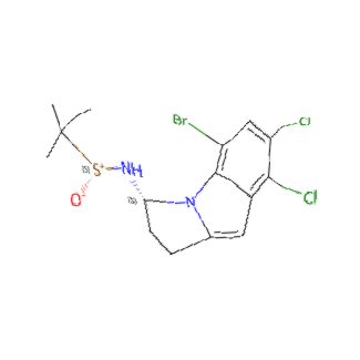 CC(C)(C)[S@@+]([O-])N[C@H]1CCc2cc3c(Cl)c(Cl)cc(Br)c3n21